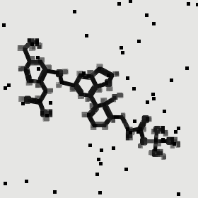 CC(C)(C)OC(=O)NCc1cccc(-c2cc(COc3cc(CN)ccc3CC(=O)O)cc3ccoc23)c1F